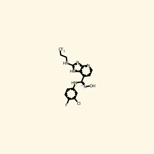 O/N=C(/Nc1ccc(F)c(Cl)c1)c1ccnc2nc(NCCC(F)(F)F)[nH]c12